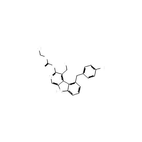 CCOC(=O)Oc1ncc2[nH]c3cccc(Cc4ccc(Cl)cc4)c3c2c1CC